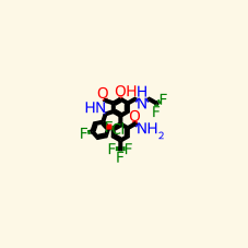 NC(=O)c1cc(C(F)(F)F)cc(F)c1-c1cc(CNCC(F)F)c(O)c2c1C(c1cc(F)ccc1Cl)NC2=O